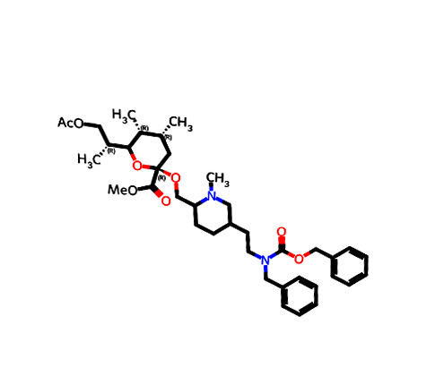 COC(=O)[C@@]1(OCC2CCC(CCN(Cc3ccccc3)C(=O)OCc3ccccc3)CN2C)C[C@@H](C)[C@@H](C)C([C@H](C)COC(C)=O)O1